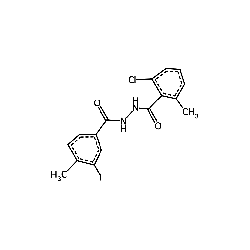 Cc1ccc(C(=O)NNC(=O)c2c(C)cccc2Cl)cc1I